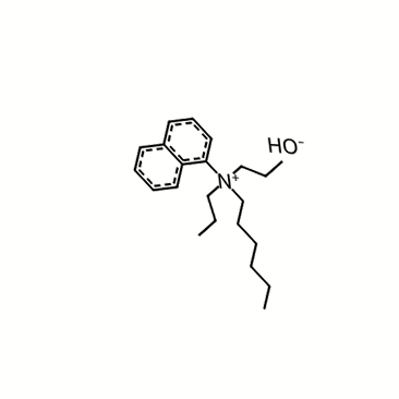 CCCCCC[N+](CCC)(CCC)c1cccc2ccccc12.[OH-]